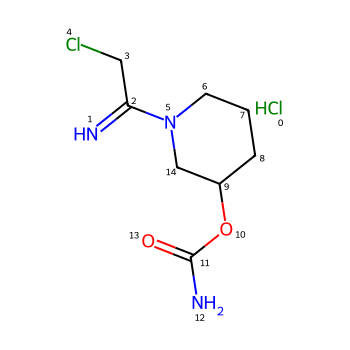 Cl.N=C(CCl)N1CCCC(OC(N)=O)C1